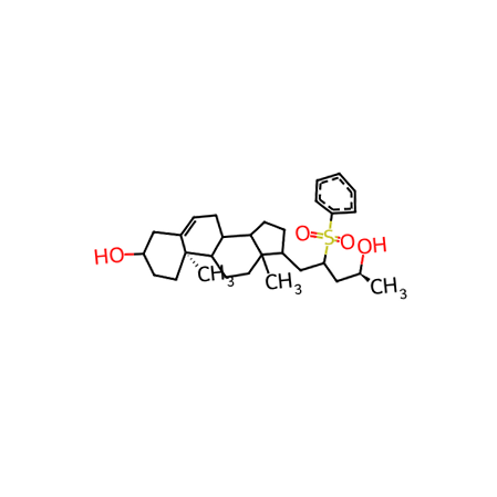 C[C@H](O)CC(CC1CCC2C3CC=C4CC(O)CC[C@]4(C)C3CCC12C)S(=O)(=O)c1ccccc1